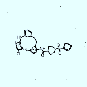 O=C(Nc1ccc2cc1CCC1C=CC=C(C1)Nc1ncc(Cl)c(n1)N2)C1CCN(S(=O)(=O)c2ccccc2)CC1